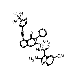 [2H]C([2H])([2H])n1cc(C#Cc2cccc3cc([C@H](C)NC(=O)c4c(N)nn5ccc(C#N)cc45)n(-c4ccccc4)c(=O)c23)cn1